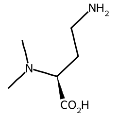 CN(C)[C@@H](CCN)C(=O)O